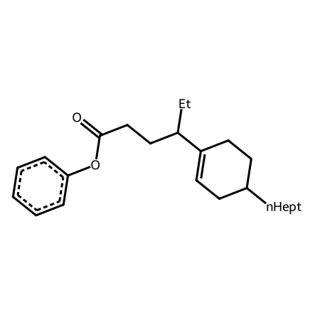 CCCCCCCC1CC=C(C(CC)CCC(=O)Oc2ccccc2)CC1